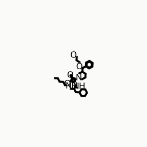 CCCCCNCC(CC1CCCCC1)Nc1c(N2CCCC([C@@H](OCCCOC)c3ccccc3)C2)c(=O)c1=O